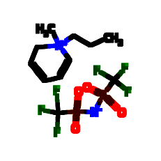 CCC[N+]1(C)C=CC=CC1.O=S(=O)([N-]S(=O)(=O)C(F)(F)F)C(F)(F)F